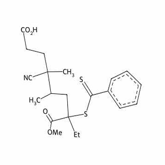 CCC(CC(C)C(C)(C#N)CCC(=O)O)(SC(=S)c1ccccc1)C(=O)OC